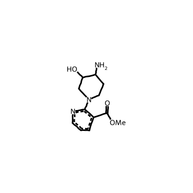 COC(=O)c1cccnc1N1CCC(N)C(O)C1